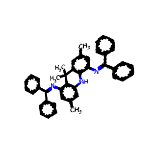 Cc1cc(N=C(c2ccccc2)c2ccccc2)c2c(c1)Nc1c(N=C(c3ccccc3)c3ccccc3)cc(C)cc1C2(C)C